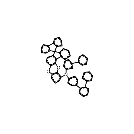 c1ccc(-c2cccc(N(c3ccc(-c4ccccc4-c4ccccc4)cc3)c3cccc4c3Oc3c(ccc5c3-c3ccccc3C53c5ccccc5-c5ccccc53)O4)c2)cc1